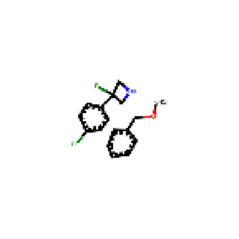 FC1(c2ccc(Br)cc2)CNC1.O=COCc1ccccc1